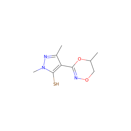 Cc1nn(C)c(S)c1C1=NOCC(C)O1